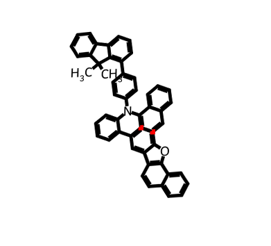 CC1(C)c2ccccc2-c2cccc(-c3ccc(N(c4ccccc4-c4ccc5oc6c7ccccc7ccc6c5c4)c4cccc5ccccc45)cc3)c21